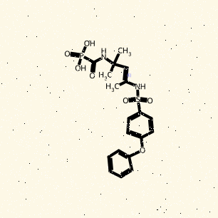 C/C(=C\C(C)(C)NC(=O)P(=O)(O)O)NS(=O)(=O)c1ccc(Oc2ccccc2)cc1